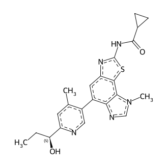 CC[C@H](O)c1cc(C)c(-c2cc3nc(NC(=O)C4CC4)sc3c3c2ncn3C)cn1